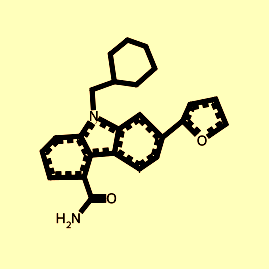 NC(=O)c1cccc2c1c1[c]cc(-c3ccco3)cc1n2CC1CCCCC1